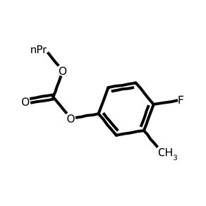 CCCOC(=O)Oc1ccc(F)c(C)c1